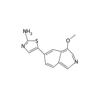 COc1cncc2ccc(-c3cnc(N)s3)cc12